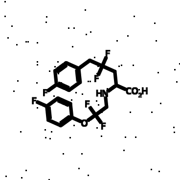 O=C(O)C(CC(F)(F)Cc1ccc(F)cc1)NCC(F)(F)Oc1ccc(F)cc1